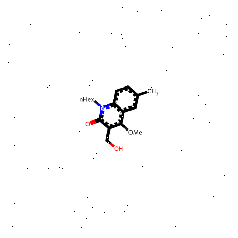 CCCCCCn1c(=O)c(CO)c(OC)c2cc(C)ccc21